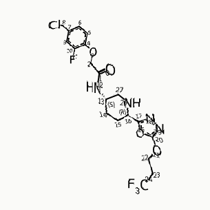 O=C(COc1ccc(Cl)cc1F)N[C@H]1CC[C@H](c2nnc(OCCC(F)(F)F)o2)NC1